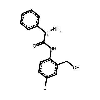 N[C@H](C(=O)Nc1ccc(Cl)cc1CO)c1ccccc1